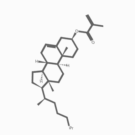 C=C(C)C(=O)O[C@H]1CC[C@@]2(C)C(=CC[C@H]3[C@@H]4CC[C@H]([C@H](C)CCCC(C)C)[C@@]4(C)CC[C@@H]32)C1